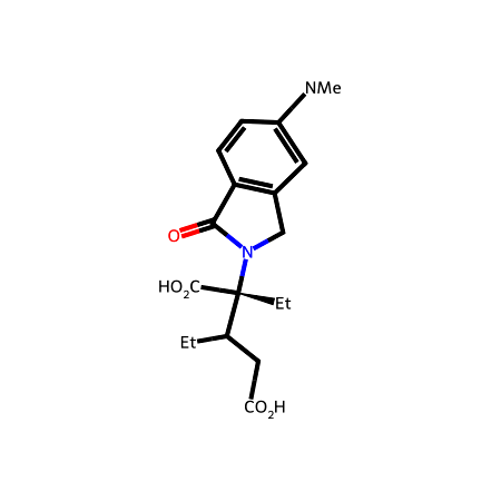 CCC(CC(=O)O)[C@](CC)(C(=O)O)N1Cc2cc(NC)ccc2C1=O